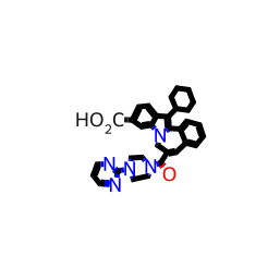 O=C(O)c1ccc2c(C3CCCCC3)c3n(c2c1)CC(C(=O)N1CCN(c2ncccn2)CC1)=Cc1ccccc1-3